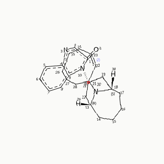 O=c1cnc2ccccc2n1[C@H]1C[C@H]2CCCC[C@@H](C1)N2C1/C=C\CCCCC1